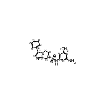 Cc1cc(N)nc(NS(=O)(=O)N2CCn3c(-c4ccccc4)cnc3C2)c1